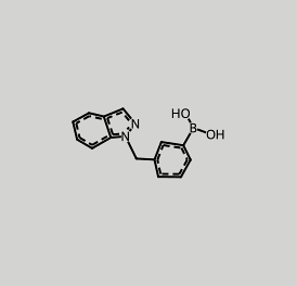 OB(O)c1cccc(Cn2ncc3ccccc32)c1